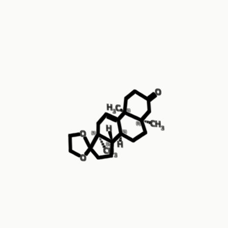 C[C@]12CC[C@@H]3C(=CC[C@@]4(C)[C@H]3CCC43OCCO3)[C@@]1(C)CCC(=O)C2